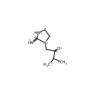 CC(C)C(=O)CN1CCNC1=N